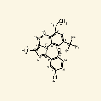 COc1cc(C(F)(F)F)cc2c1nnc1c(C)nc(-c3cc(Cl)ccc3Cl)n12